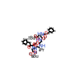 CC(C)C(NC(=O)CNC(=O)[C@H](CC(=O)OC(C)(C)C)NC(=O)OCc1ccccc1)C(=O)NN(CC(=O)OC(C)(C)C)C(=O)C(=O)Cc1ccccc1